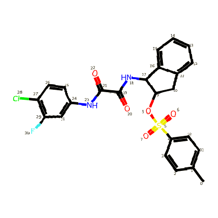 Cc1ccc(S(=O)(=O)OC2Cc3ccccc3C2NC(=O)C(=O)Nc2ccc(Cl)c(F)c2)cc1